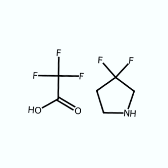 FC1(F)CCNC1.O=C(O)C(F)(F)F